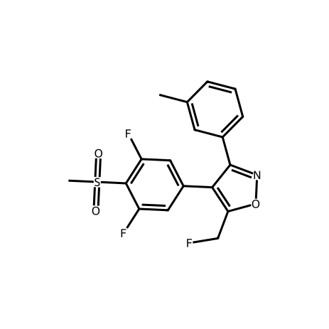 Cc1cccc(-c2noc(CF)c2-c2cc(F)c(S(C)(=O)=O)c(F)c2)c1